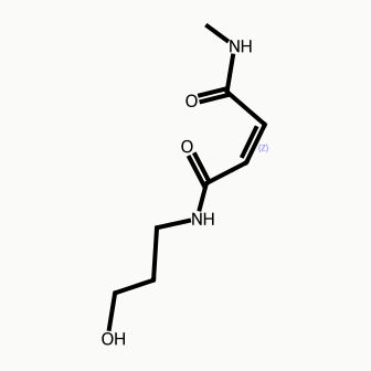 CNC(=O)/C=C\C(=O)NCCCO